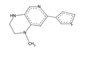 CN1CCNc2cnc(-c3ccsc3)cc21